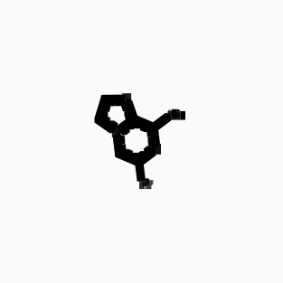 CC(C)c1cn2ccnc2c(C(C)(C)C)n1